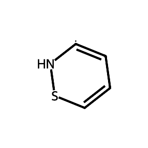 [C]1=CC=CSN1